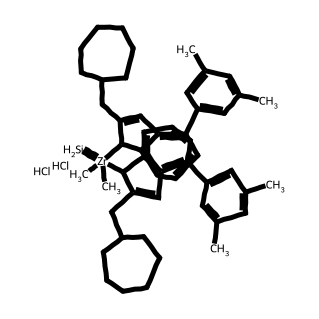 Cc1cc(C)cc(-c2cccc3c2C=C(CC2CCCCCC2)[CH]3[Zr]([CH3])([CH3])(=[SiH2])[CH]2C(CC3CCCCCC3)=Cc3c(-c4cc(C)cc(C)c4)cccc32)c1.Cl.Cl